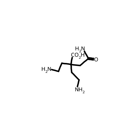 NCCC(CCN)(CC(N)=O)C(=O)O